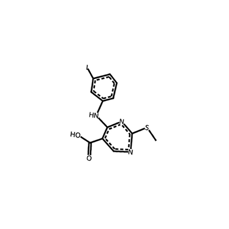 CSc1ncc(C(=O)O)c(Nc2cccc(I)c2)n1